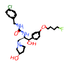 O=C(NCc1ccc(Cl)cc1)N[C@H](CN1CC[C@H](O)C1)[C@H](O)c1ccc(OCCCCF)cc1